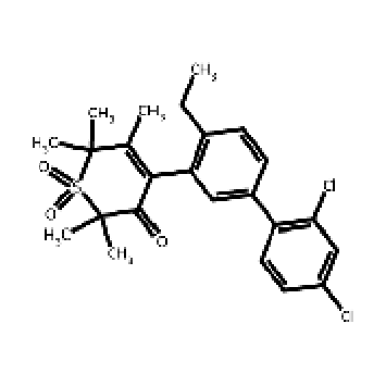 CCc1ccc(-c2ccc(Cl)cc2Cl)cc1C1=C(C)C(C)(C)S(=O)(=O)C(C)(C)C1=O